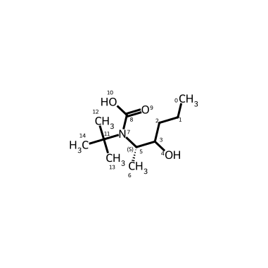 CCCC(O)[C@H](C)N(C(=O)O)C(C)(C)C